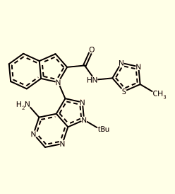 Cc1nnc(NC(=O)c2cc3ccccc3n2-c2nn(C(C)(C)C)c3ncnc(N)c23)s1